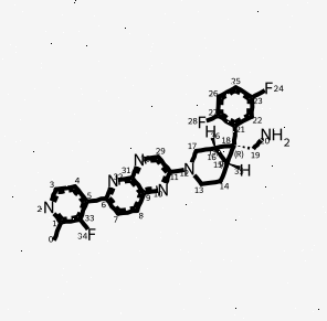 Cc1nccc(-c2ccc3nc(N4CC[C@@H]5[C@H](C4)[C@@]5(CN)c4cc(F)ccc4F)cnc3n2)c1F